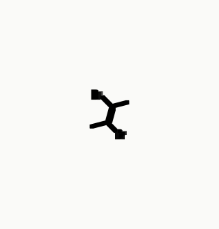 C/C(Br)=C(/C)Br